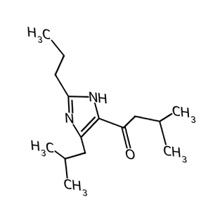 CCCc1nc(CC(C)C)c(C(=O)CC(C)C)[nH]1